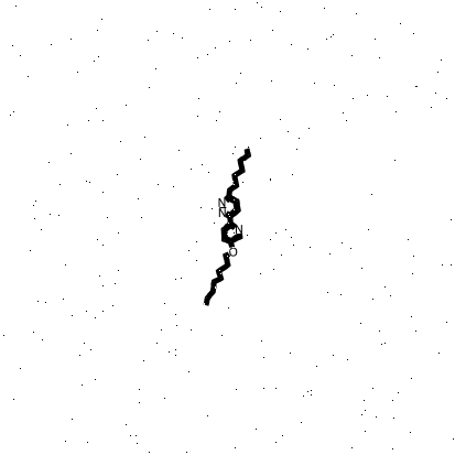 CCCCCCCCOc1ccc(-c2ccc(CCCCCCC)nn2)nc1